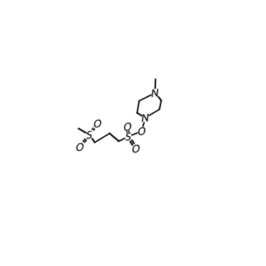 CN1CCN(OS(=O)(=O)CCCS(C)(=O)=O)CC1